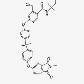 CCC(C)(C)NC(=O)c1ccc(Oc2ccc(C(C)(C)c3ccc(Oc4ccc5c(c4)C(=O)N(C)C5=O)cc3)cc2)cc1C=O